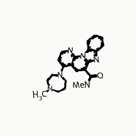 CNC(=O)c1cc2c(N3CCCN(C)CC3)ccnc2n2c1nc1ccccc12